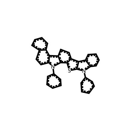 c1ccc(-n2c3ccccc3c3c4ccc5c6c7ccccc7ccc6n(-c6ccccc6)c5c4sc32)cc1